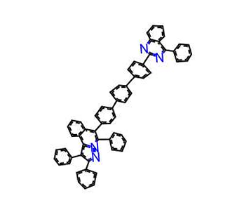 c1ccc(-c2nn3c(-c4ccccc4)c(-c4ccc(-c5ccc(-c6ccc(-c7nc(-c8ccccc8)c8ccccc8n7)cc6)cc5)cc4)c4ccccc4c3c2-c2ccccc2)cc1